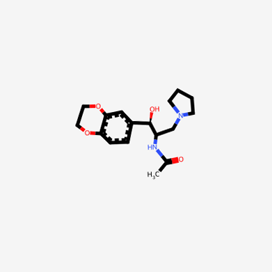 CC(=O)NC(CN1CCCC1)[C@H](O)c1ccc2c(c1)OCCO2